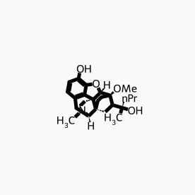 CCC[C@@](C)(O)C1C[C@@]23CC[C@]1(OC)[C@@H]1Oc4c(O)ccc5c4[C@@]12CCN(C)[C@@H]3C5